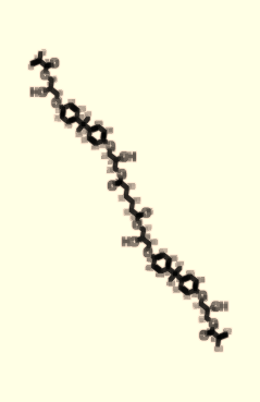 C=C(C)C(=O)OCC(O)COc1ccc(C(C)(C)c2ccc(OCC(O)COC(=O)CCCCC(=O)OCC(O)COc3ccc(C(C)(C)c4ccc(OC[C@H](O)COC(=O)C(=C)C)cc4)cc3)cc2)cc1